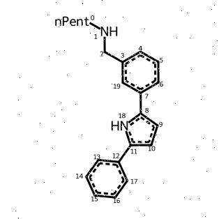 CCCCCNCc1cccc(-c2ccc(-c3ccccc3)[nH]2)c1